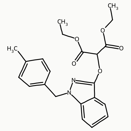 CCOC(=O)C(Oc1nn(Cc2ccc(C)cc2)c2ccccc12)C(=O)OCC